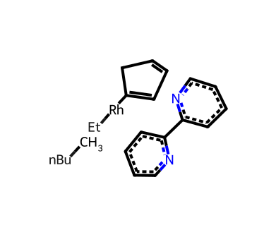 CCCCC.C[CH2][Rh][C]1=CC=CC1.c1ccc(-c2ccccn2)nc1